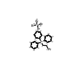 CC(C)CC[P+](c1ccccc1)(c1ccccc1)c1ccccc1.[Br][Fe-]([Br])([Br])[Br]